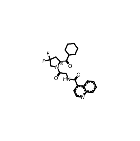 O=C(NCC(=O)N1CC(F)(F)C[C@H]1C(=O)C1CCCCC1)c1ccnc2ccccc12